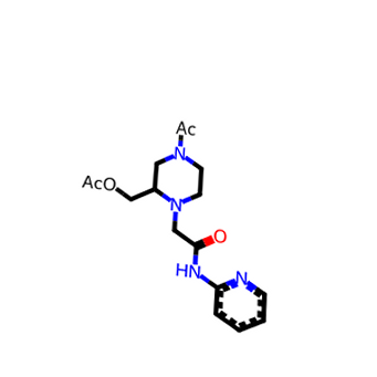 CC(=O)OCC1CN(C(C)=O)CCN1CC(=O)Nc1ccccn1